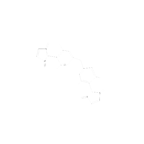 CCc1cc(Cc2cc(C)c(N3C(=O)C=CC3=O)c(C)c2)cc(C)c1N1C(=O)C=CC1=O